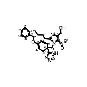 CCCCc1nc(CO)c([N+](=O)[O-])n1CC1(c2nnn[nH]2)C=CC(OCc2ccccc2)=CC1